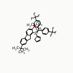 CC(C)(C)c1ccc2c(c1)Cc1c-2ccc(C(C)(C)C)[c]1[Zr]([C]1=CC=CC1)=[C](c1ccc(C(F)(F)F)cc1)c1ccc(C(F)(F)F)cc1